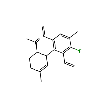 C=Cc1cc(C)c(F)c(C=C)c1C1C=C(C)CC[C@H]1C(=C)C